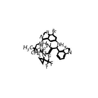 CC(C)(C)CNc1ncnc2c(Br)cc(NC(/C(N)=C/N(N)C3(C(F)(F)F)CC3)c3cccc4ncsc34)cc12